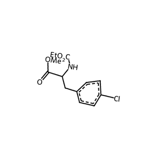 CCOC(=O)NC(Cc1ccc(Cl)cc1)C(=O)OC